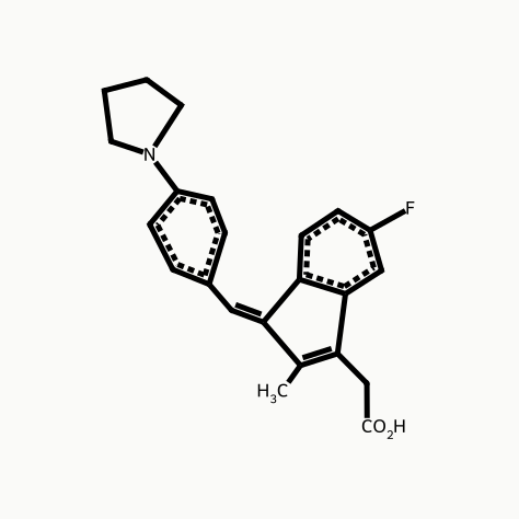 CC1=C(CC(=O)O)c2cc(F)ccc2C1=Cc1ccc(N2CCCC2)cc1